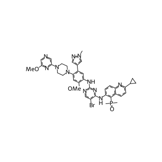 COc1cncc(N2CCN(c3cc(OC)c(Nc4ncc(Br)c(Nc5ccc6nc(C7CC7)ccc6c5P(C)(C)=O)n4)cc3-c3cnn(C)c3)CC2)n1